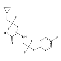 O=C(O)[C@H](CC(F)(F)CC1CC1)NCC(F)(F)Oc1ccc(F)cc1